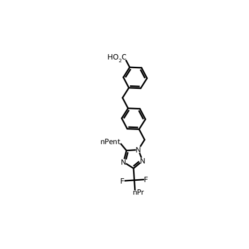 CCCCCc1nc(C(F)(F)CCC)nn1Cc1ccc(Cc2cccc(C(=O)O)c2)cc1